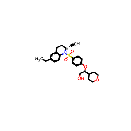 C#C[C@H]1CCc2cc(CC)ccc2N1S(=O)(=O)c1ccc(OC(CO)C2CCOCC2)cc1